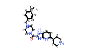 O=C(c1nc2nc(C3CCNCC3)ccc2[nH]1)N1CCN(Cc2ccc(C(F)(F)F)cc2)CC1